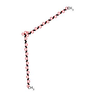 COCCOCCOCCOCCOCCOCCOCCOCCOCCOCCCOCC(OCCCOCCOCCOCCOCCOCCOCCOCCOCCOCCOC)C(=O)O